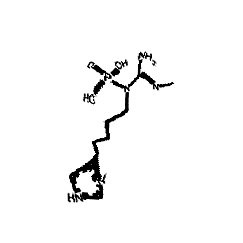 CN=C(N)N(CCCCc1c[nH]cn1)P(=O)(O)O